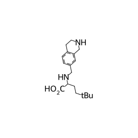 CC(C)(C)CCC(NCc1ccc2c(c1)CNCC2)C(=O)O